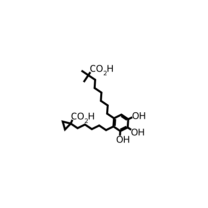 CC(C)(CCCCCCc1cc(O)c(O)c(O)c1CCCCCC1(C(=O)O)CC1)C(=O)O